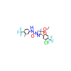 CCOC(=O)C1(C)CN(C(=O)Nc2ccc(C(F)(F)F)c(C)c2)N=C1c1ccc(C(F)(F)F)c(Cl)c1